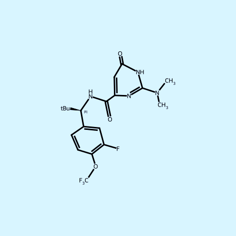 CN(C)c1nc(C(=O)N[C@@H](c2ccc(OC(F)(F)F)c(F)c2)C(C)(C)C)cc(=O)[nH]1